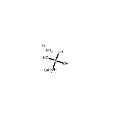 O[Si](O)(O)O.[AlH3].[CaH2].[Fe]